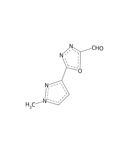 Cn1ccc(-c2nnc(C=O)o2)n1